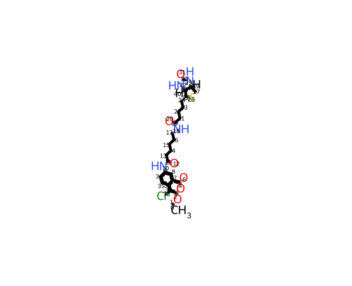 CCOc1oc(=O)c2cc(NC(=O)CCCCCNC(=O)CCCC[C@@H]3SC[C@@H]4NC(=O)N[C@@H]43)ccc2c1Cl